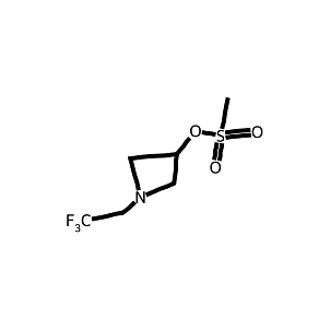 CS(=O)(=O)OC1CN(CC(F)(F)F)C1